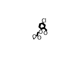 COC(=O)COc1ccc(Cl)cc1C=O